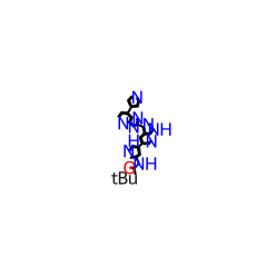 CC(C)(C)CC(=O)Nc1cncc(-c2cnc3[nH]nc(-c4nc5c(-c6ccncc6)ccnc5[nH]4)c3c2)c1